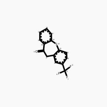 O=C1Cc2cc(C(F)(F)F)ccc2Sc2ccccc21